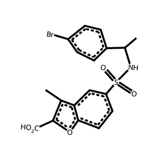 Cc1c(C(=O)O)oc2ccc(S(=O)(=O)NC(C)c3ccc(Br)cc3)cc12